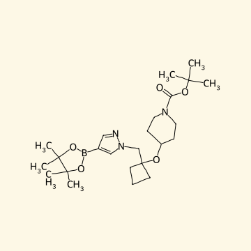 CC(C)(C)OC(=O)N1CCC(OC2(Cn3cc(B4OC(C)(C)C(C)(C)O4)cn3)CCC2)CC1